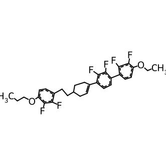 CCCOc1ccc(CCC2CC=C(c3ccc(-c4ccc(OCC)c(F)c4F)c(F)c3F)CC2)c(F)c1F